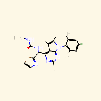 CNC(=O)NC(c1nccs1)c1nc(C)nc2c1c(C)c(C)n2-c1c(C)cc(Cl)cc1C